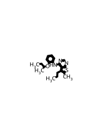 CCCc1c(C)sc2ncnc(Nc3ccccc3OC(C)CC)c12